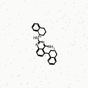 Nc1nc(N[C@@H]2CCCc3ccccc32)nc2cccc(C3CCCc4ccccc43)c12